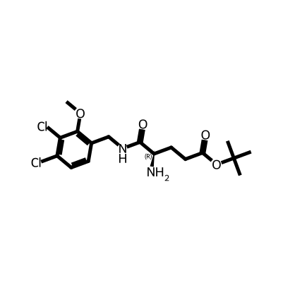 COc1c(CNC(=O)[C@H](N)CCC(=O)OC(C)(C)C)ccc(Cl)c1Cl